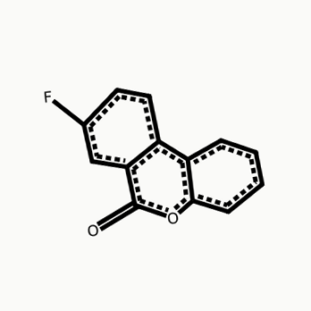 O=c1oc2ccccc2c2ccc(F)cc12